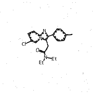 CCN(CC)C(=O)Cc1c(-c2ccc(C)cc2)nc2ccc(Cl)cn12